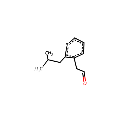 CC(C)Cc1bcccc1CC=O